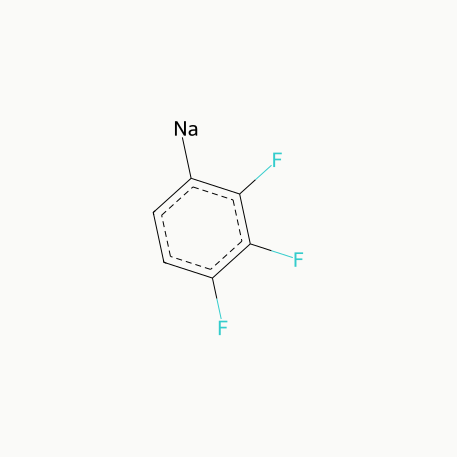 Fc1cc[c]([Na])c(F)c1F